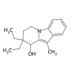 CCC1(CC)CCn2c(c(C)c3ccccc32)C1O